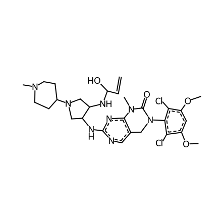 C=CC(O)NC1CN(C2CCN(C)CC2)CC1Nc1ncc2c(n1)N(C)C(=O)N(c1c(Cl)c(OC)cc(OC)c1Cl)C2